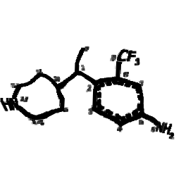 CC(c1ccc(N)cc1C(F)(F)F)C1CCNCC1